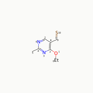 CCOc1nc(C)ncc1C=S